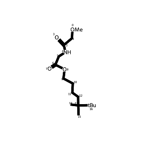 COCC(=O)NCC(=O)OCCCCC(C)(C)C(C)(C)C